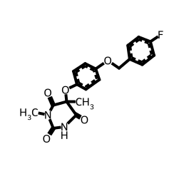 CN1C(=O)NC(=O)C(C)(Oc2ccc(OCc3ccc(F)cc3)cc2)C1=O